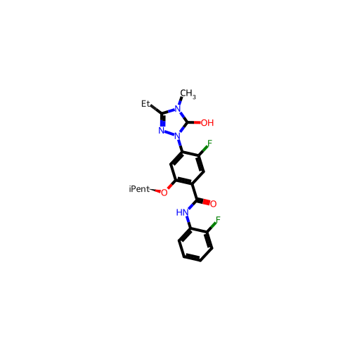 CCC[C@H](C)Oc1cc(N2N=C(CC)N(C)C2O)c(F)cc1C(=O)Nc1ccccc1F